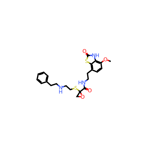 COc1ccc(CCNC(=O)C2(SCCNCCc3ccccc3)CO2)c2sc(=O)[nH]c12